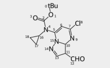 CC(C)(C)OC(=O)N(C1=CC(Cl)=NC2C(C=O)C=NN12)C1CC1